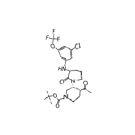 CC(=O)[C@H]1CCN(C(=O)OC(C)(C)C)C[C@@H]1N1CCCC(Nc2cc(Cl)cc(OC(F)(F)F)c2)C1=O